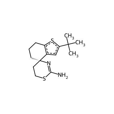 CC(C)(C)c1cc2c(s1)CCC[C@]21CCSC(N)=N1